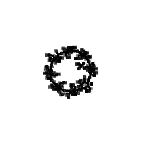 O=P([O-])(O)OC[C@H]1O[C@@H]2O[C@H]3[C@H](O)[C@@H](O)[C@@H](O[C@H]4[C@H](O)[C@@H](O)[C@@H](O[C@H]5[C@H](O)[C@@H](O)[C@@H](O[C@H]6[C@H](O)[C@@H](O)[C@@H](O[C@H]7[C@H](O)[C@@H](O)[C@@H](O[C@H]8[C@H](O)[C@@H](O)[C@@H](O[C@H]9[C@H](O)[C@@H](O)[C@@H](O[C@H]1[C@H](O)[C@H]2O)O[C@@H]9CO)O[C@@H]8CO)O[C@@H]7CO)O[C@@H]6CO)O[C@@H]5CO)O[C@@H]4CO)O[C@@H]3CO.[Na+]